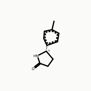 Cc1ccc([C@@H]2CCC(=O)N2)cc1